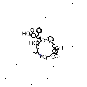 CCC1/C=C(/C)CC(C)CC(OC)C2OC(O)(CCN3CCCCC3COC(C(C)=CC3(Cc4ccccc4)CC[C@H](O)C(OC)C3)C(C)C(O)CC1)C(C)CC2OC